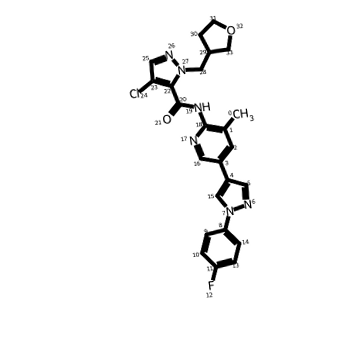 Cc1cc(-c2cnn(-c3ccc(F)cc3)c2)cnc1NC(=O)c1c(Cl)cnn1CC1CCOC1